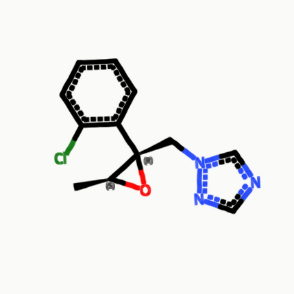 C[C@@H]1O[C@@]1(Cn1cncn1)c1ccccc1Cl